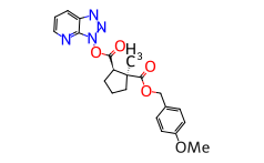 COc1ccc(COC(=O)[C@@]2(C)CCC[C@H]2C(=O)On2nnc3cccnc32)cc1